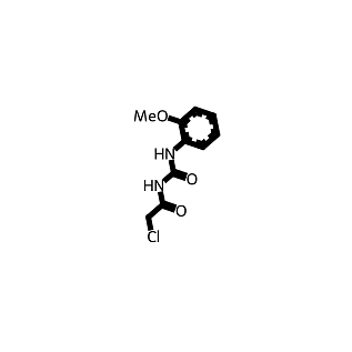 COc1ccccc1NC(=O)NC(=O)CCl